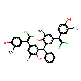 Cc1cc(C(=C(Cl)Cl)c2cc(C)c(O)c(C(c3ccccc3)c3cc(C(=C(Cl)Cl)c4ccc(O)c(C)c4)cc(C)c3O)c2)ccc1O